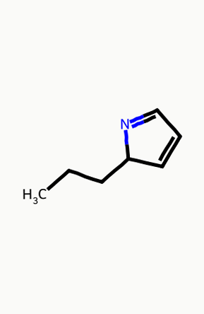 CCCC1C=CC=N1